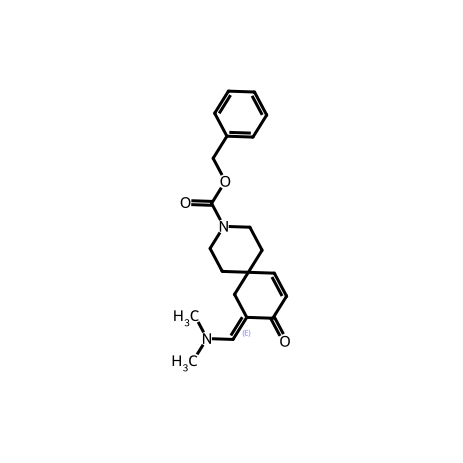 CN(C)/C=C1\CC2(C=CC1=O)CCN(C(=O)OCc1ccccc1)CC2